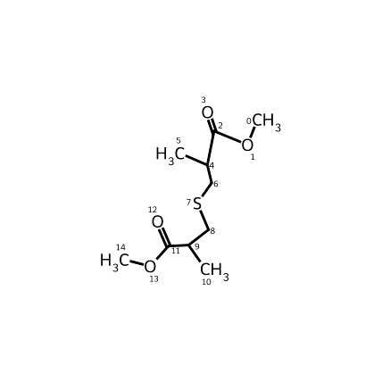 COC(=O)C(C)CSCC(C)C(=O)OC